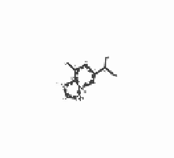 Cc1cc(C(C)C)cn2ncnc12